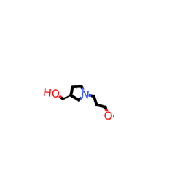 [O]CCCN1CC[C@H](CO)C1